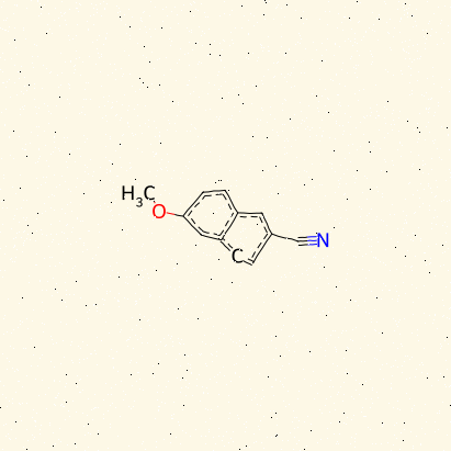 COc1ccc2cc(C#N)ccc2c1